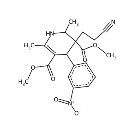 COC(=O)C1=C(C)NC(C)C(CCC#N)(C(=O)OC)C1c1cccc([N+](=O)[O-])c1